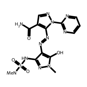 CNS(=O)(=O)Nc1nn(C)c(O)c1N=Nc1c(C(N)=O)cnn1-c1ncccn1